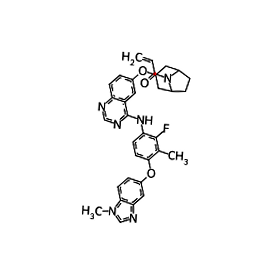 C=CC(=O)N1C2CCC1CC(Oc1ccc3ncnc(Nc4ccc(Oc5ccc6c(c5)ncn6C)c(C)c4F)c3c1)C2